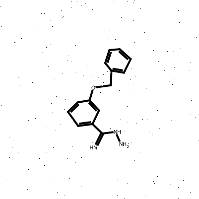 N=C(NN)c1cccc(OCc2ccccc2)c1